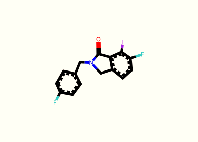 O=C1c2c(ccc(F)c2I)CN1Cc1ccc(F)cc1